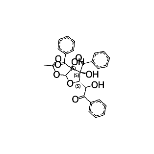 CC(=O)OC1O[C@@H](C(O)C(=O)c2ccccc2)[C@@](O)(C(=O)c2ccccc2)[C@@]1(O)C(=O)c1ccccc1